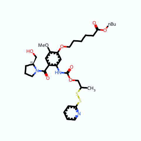 CCCCOC(=O)CCCCCOc1cc(NC(=O)OCC(C)SSc2ccccn2)c(C(=O)N2CCC[C@H]2CO)cc1OC